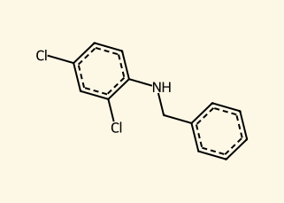 Clc1ccc(NCc2ccccc2)c(Cl)c1